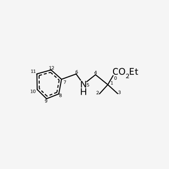 CCOC(=O)C(C)(C)CNCc1ccccc1